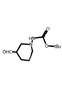 CC(C)(C)OC(=O)NN1CCCC(C=O)C1